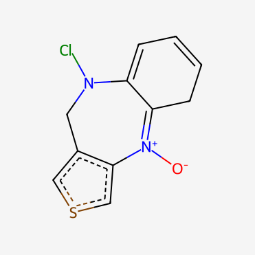 [O-][N+]1=C2CC=CC=C2N(Cl)Cc2cscc21